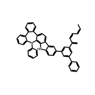 C=C(/C=C\C=C/C)c1cc(-c2ccccc2)cc(-c2ccc3[nH]c4c5c(ccc4c3c2)-c2ccccc2-c2ccccc2N5c2ccccc2)c1